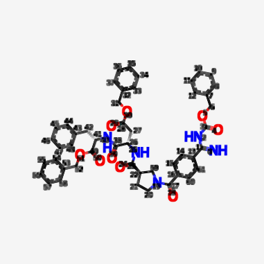 N=C(NC(=O)OCc1ccccc1)c1ccc(C(=O)N2CC[C@@H](C(=O)N[C@@H](CC(=O)OCc3ccccc3)C(=O)N[C@@H](Cc3ccccc3)C(=O)OCc3ccccc3)C2)cc1